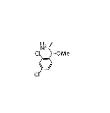 CO[C@@H](c1ccc(Cl)cc1Cl)[C@H](C)N